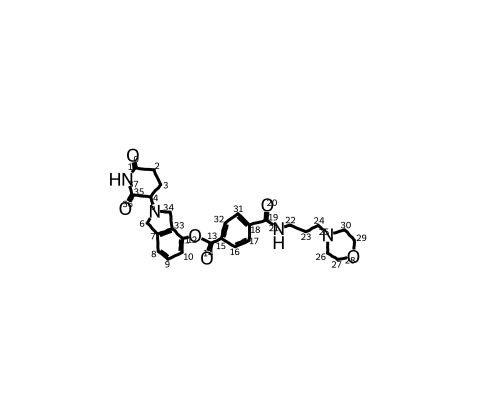 O=C1CCC(N2Cc3cccc(OC(=O)c4ccc(C(=O)NCCCN5CCOCC5)cc4)c3C2)C(=O)N1